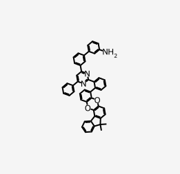 CC1(C)c2ccccc2-c2c1ccc1c2Oc2cccc(-c3ccccc3-c3nc(-c4ccccc4)cc(-c4cccc(-c5cccc(N)c5)c4)n3)c2O1